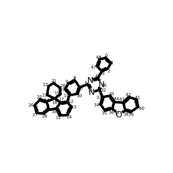 c1ccc(-c2nc(-c3cccc(-c4cccc5c4C4(CCCCC4)c4ccccc4-5)c3)nc(-c3ccc4oc5ccccc5c4c3)n2)cc1